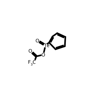 O=C(O[Te](=O)c1ccccc1)C(F)(F)F